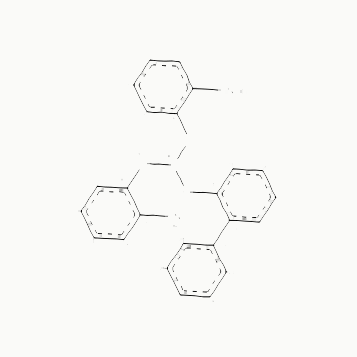 CCCCCCCCCc1ccccc1OP(Oc1ccccc1CCCCCCCCC)Oc1ccccc1-c1ccccc1